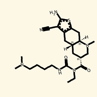 CCN(C(=O)NCCCCN(C)C)C(=O)[C@@H]1C[C@@H]2Cc3c(sc(N)c3C#N)C[C@H]2N(C)C1